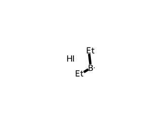 CC[B]CC.I